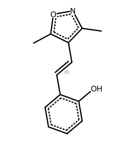 Cc1noc(C)c1/C=C/c1ccccc1O